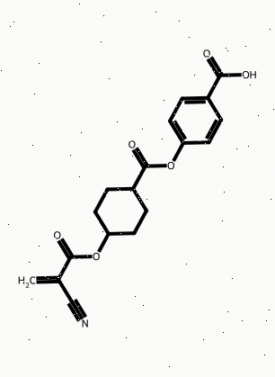 C=C(C#N)C(=O)OC1CCC(C(=O)Oc2ccc(C(=O)O)cc2)CC1